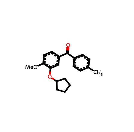 COc1ccc(C(=O)c2ccc(C)cc2)cc1OC1CCCC1